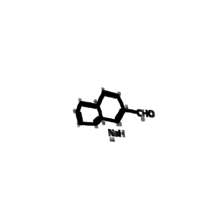 O=Cc1ccc2ccccc2c1.[NaH]